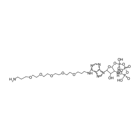 NCCCOCCOCCOCCOCCOCCCNc1ncnc2c1ncn2C1OC(OP(=O)(O)OP(=O)(O)OP(=O)(O)O)C(O)C1O